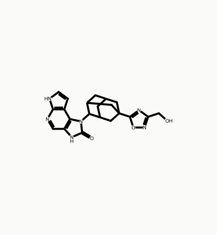 O=c1[nH]c2cnc3[nH]ccc3c2n1C1C2CC3CC1CC(c1nc(CO)no1)(C3)C2